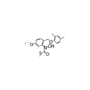 CCOc1ccc(COc2ccc(C)cc2C)c(N(O)C(=O)SC)c1